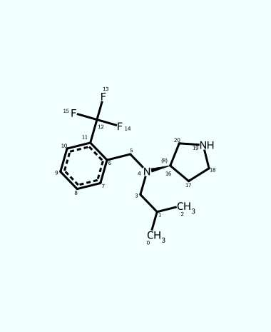 CC(C)CN(Cc1ccccc1C(F)(F)F)[C@@H]1CCNC1